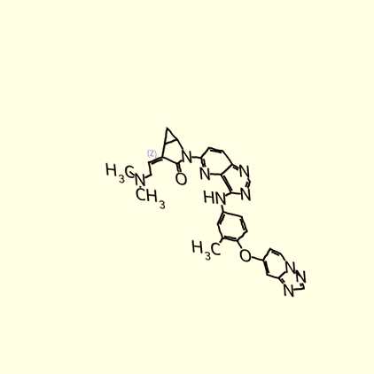 Cc1cc(Nc2ncnc3ccc(N4C(=O)/C(=C\CN(C)C)C5CC54)nc23)ccc1Oc1ccn2ncnc2c1